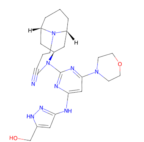 CN(c1nc(Nc2cc(CO)[nH]n2)cc(N2CCOCC2)n1)[C@@H]1C[C@H]2CCC[C@@H](C1)N2CCC#N